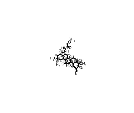 COCC(=O)NNC(=O)[C@]12CCC(C)(C)CC1C1C(=O)C=C3[C@@]4(C)C=C(C#N)C(=O)C(C)(C)[C@@H]4CC[C@@]3(C)[C@]1(C)CC2